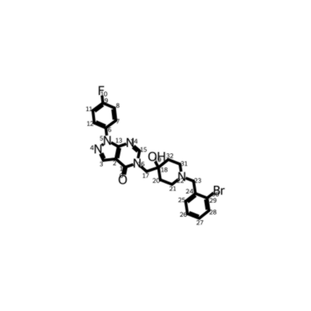 O=c1c2cnn(-c3ccc(F)cc3)c2ncn1CC1(O)CCN(Cc2ccccc2Br)CC1